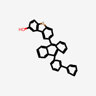 Oc1ccc2sc3ccc(-c4c5ccccc5c(-c5cccc(-c6ccccc6)c5)c5ccccc45)cc3c2c1